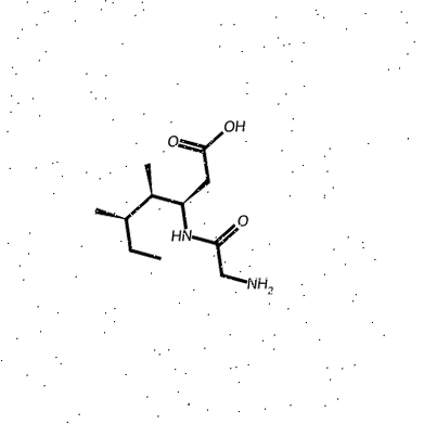 CC[C@@H](C)[C@@H](C)[C@@H](CC(=O)O)NC(=O)CN